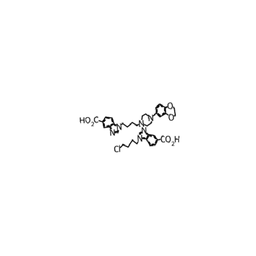 O=C(O)c1ccc2c(c1)ncn2CCCCCl.O=C(O)c1ccc2c(c1)ncn2CCCCN1CCN(c2ccc3c(c2)OCCO3)CC1